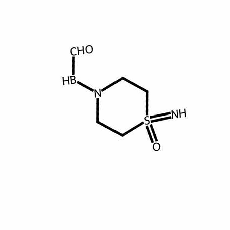 N=S1(=O)CCN(BC=O)CC1